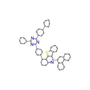 c1ccc(-c2ccc(-c3nc(-c4ccccc4)nc(-c4ccc(-c5cccc6nc(-c7cc8ccccc8c8ccccc78)c7c8ccccc8sc7c56)cc4)n3)cc2)cc1